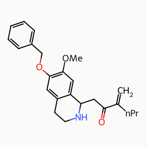 C=C(CCC)C(=O)CC1NCCc2cc(OCc3ccccc3)c(OC)cc21